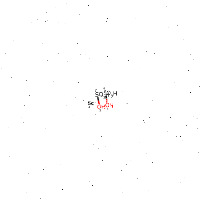 O=S(=O)(O)O.O=S(=O)(O)O.[Sc]